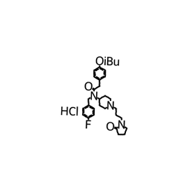 CC(C)COc1ccc(CC(=O)N(Cc2ccc(F)cc2)C2CCN(CCCN3CCCC3=O)CC2)cc1.Cl